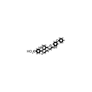 CN(CCCN(CC(=O)Nc1ccc(Oc2ccccc2)cc1)CC1CCNCC1)Cc1ccc(C(=O)O)cc1